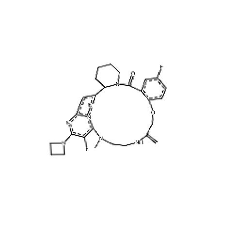 C=C1COc2ccc(F)cc2C(=O)N2CCCCC2c2cc3nc(N4CCC4)c(F)c(n3n2)N(C)CCN1